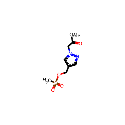 COC(=O)Cn1cc(COS(C)(=O)=O)cn1